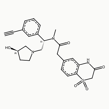 C#Cc1cccc([C@@H](CN2CC[C@@H](O)C2)N(C)C(=O)Cc2ccc3c(c2)NC(=O)CS3(=O)=O)c1